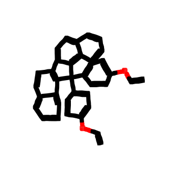 C=COc1ccc(C2(c3ccc(OC=C)cc3)c3c(ccc4ccccc34)-c3ccc4ccccc4c32)cc1